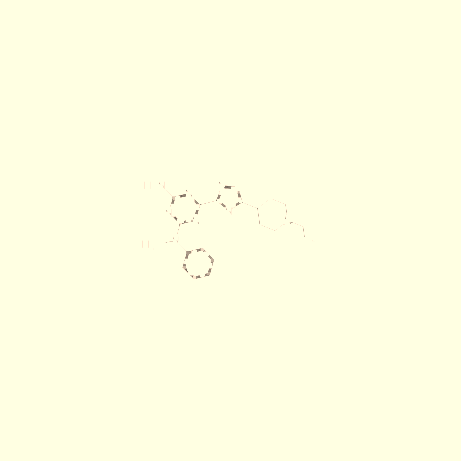 CC(C)CN1CCC(c2nc(-c3nc(N)nc(N(C)c4ccccc4)n3)no2)CC1